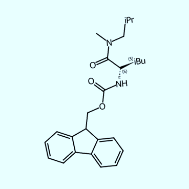 CC[C@H](C)[C@H](NC(=O)OCC1c2ccccc2-c2ccccc21)C(=O)N(C)CC(C)C